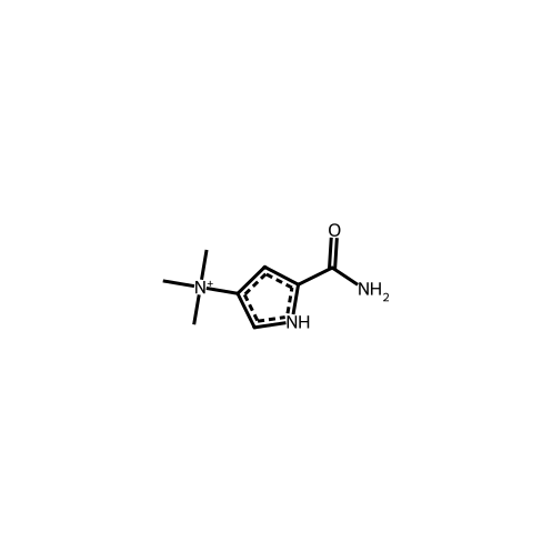 C[N+](C)(C)c1c[nH]c(C(N)=O)c1